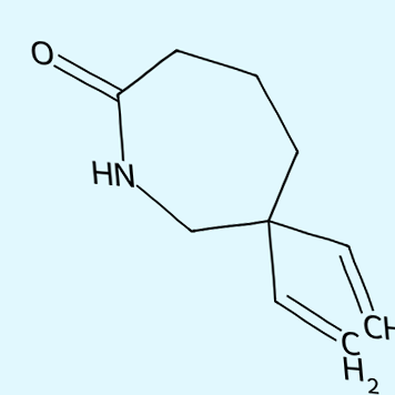 C=CC1(C=C)CCCC(=O)NC1